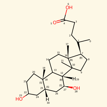 CC(CCC(=O)O)[C@H]1CCC2(C)[C@H]3C(CC[C@]12C)[C@@]1(C)CCC(O)C[C@H]1C[C@@H]3O